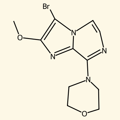 COc1nc2c(N3CCOCC3)nccn2c1Br